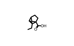 CCC1=CC2CCC1(C(=O)O)C2